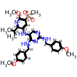 COc1ccc(CNc2ncc(Nc3cc(S(C)(=O)=O)c(OC)nc3C(C)C)c(NCc3ccc(OC)cc3)n2)cc1